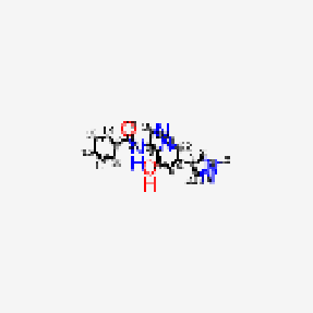 Cn1cc(-c2cc(O)c3c(NC(=O)c4ccccc4)cnn3c2)cn1